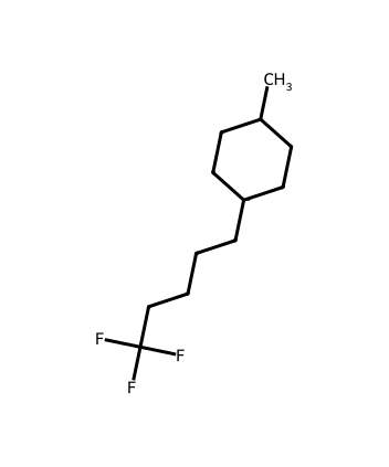 CC1CC[C](CCCCC(F)(F)F)CC1